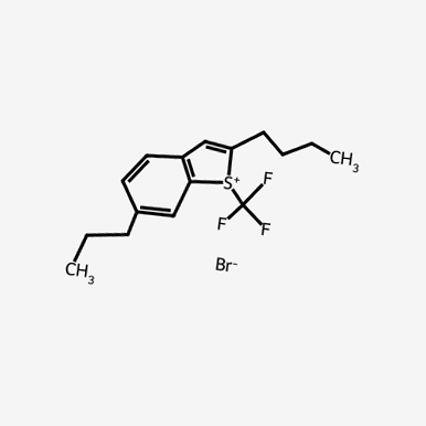 CCCCc1cc2ccc(CCC)cc2[s+]1C(F)(F)F.[Br-]